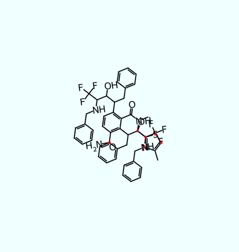 Cc1csc(CN(C)C(=O)c2c(C(Cc3ccccc3)C(O)C(NCc3ccccc3)C(F)(F)F)ccc(C(N)=O)c2C(Cc2ccccc2)C(O)C(NCc2ccccc2)C(F)(F)F)n1